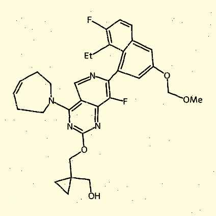 CCc1c(F)ccc2cc(OCOC)cc(-c3ncc4c(N5CCC=CCC5)nc(OCC5(CO)CC5)nc4c3F)c12